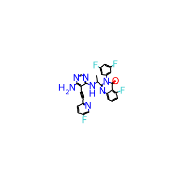 CC(Nc1ncnc(N)c1C#Cc1ccc(F)cn1)c1nc2cccc(F)c2c(=O)n1-c1cc(F)cc(F)c1